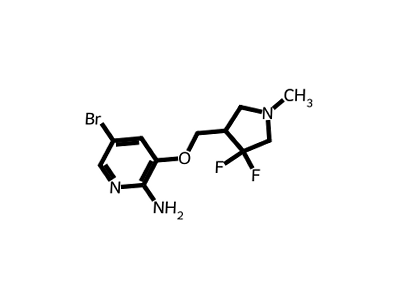 CN1CC(COc2cc(Br)cnc2N)C(F)(F)C1